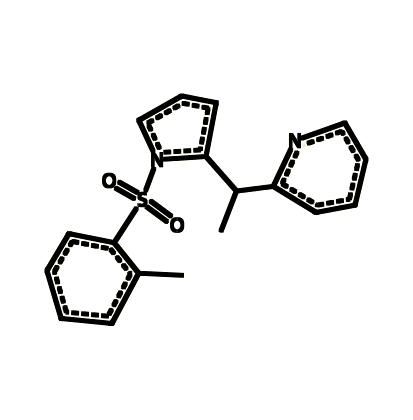 Cc1ccccc1S(=O)(=O)n1cccc1C(C)c1ccccn1